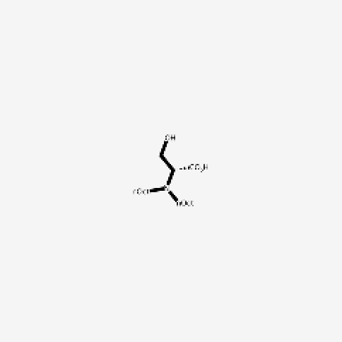 CCCCCCCCN(CCCCCCCC)[C@H](CO)C(=O)O